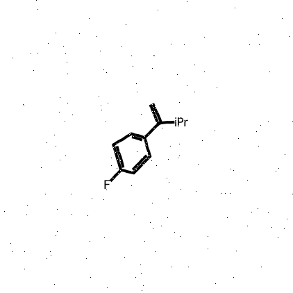 C=C(c1ccc(F)cc1)C(C)C